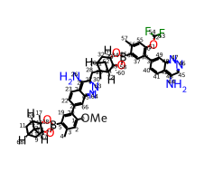 COc1cc(C)c(B2O[C@@H]3C[C@@H]4C[C@@H](C4(C)C)[C@]3(C)O2)cc1-c1ccc2c(N)c(CC3(C)[C@@H]4C[C@H]5OB(c6cc(-c7ccc8c(N)cnnc8c7)c(OC(F)F)cc6C)O[C@@]5(C)[C@H]3C4)nnc2c1